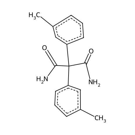 Cc1cccc(C(C(N)=O)(C(N)=O)c2cccc(C)c2)c1